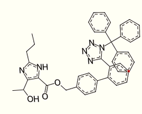 CCCc1nc(C(C)O)c(C(=O)OCc2ccc(-c3ccccc3-c3nnnn3C(c3ccccc3)(c3ccccc3)c3ccccc3)cc2)[nH]1